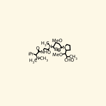 CCC(C)C(C(CC(=O)N1CCCC1C(OC)C(C)C=O)OC)N(C)C(=O)CNC(=O)C(C(C)C)N(C)C